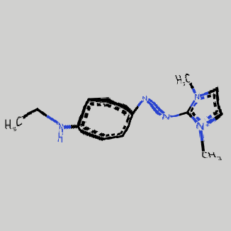 CCNc1ccc(N=Nc2n(C)cc[n+]2C)cc1